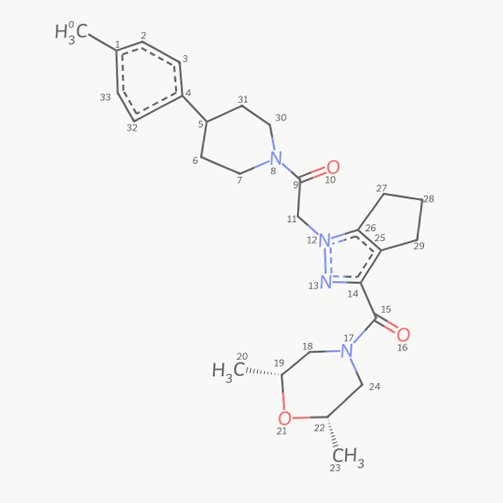 Cc1ccc(C2CCN(C(=O)Cn3nc(C(=O)N4C[C@@H](C)O[C@@H](C)C4)c4c3CCC4)CC2)cc1